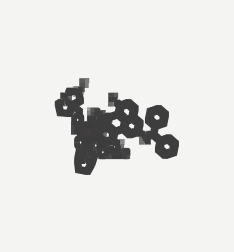 COc1c(F)c(-c2cc(N=C(c3ccccc3)c3ccccc3)cc3ccc(F)c(C#C[Si](C(C)C)(C(C)C)C(C)C)c23)c(F)c2nc(OC[C@@]34CCCN3C[C@H](F)C4)nc(N3CC4CCC(C3)N4C(=O)OC(C)(C)C)c12